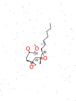 CCCC/C=C/C[C@H]1O[C@]1(C)[C@H]1[C@H](OC)C(=O)CC[C@]12CO2